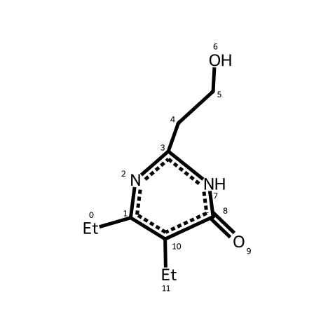 CCc1nc(CCO)[nH]c(=O)c1CC